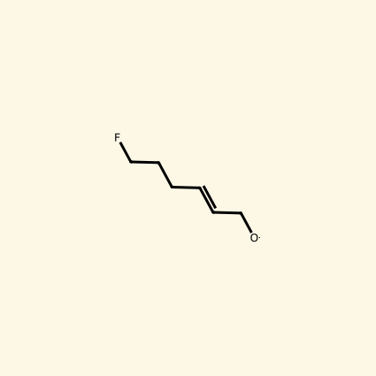 [O]CC=CCCCF